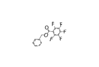 O=C(OCc1ccccc1)c1c(F)c(F)c(F)c(F)c1F